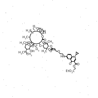 CCOC(=O)COC(=O)c1cn(C2CC2)c2ccc(NCCOCCC(=O)O[C@H]3[C@H](C)O[C@@H](O[C@H]4[C@H](C)[C@@H](O[C@@H]5O[C@H](C)C[C@H](N(C)C)[C@@H]5O)[C@](C)(O)C[C@@H](C)CN(C)[C@H](C)[C@@H](O)[C@](C)(O)[C@@H](CC)OC(=O)[C@@H]4C)C[C@@]3(C)OC)cc2c1=O